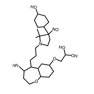 CCCC1CCOC2CCC(OCC(O)O)CC2C1CCCN1CCC(N=O)(C2CCC(O)CC2)C1(C)C